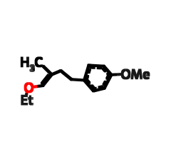 CCOC=C(C)CCc1ccc(OC)cc1